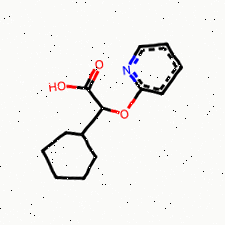 O=C(O)C(Oc1ccccn1)C1CCCCC1